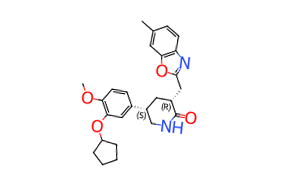 COc1ccc([C@H]2CNC(=O)[C@@H](Cc3nc4ccc(C)cc4o3)C2)cc1OC1CCCC1